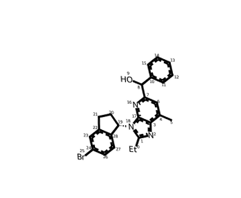 CCc1nc2c(C)cc(C(O)c3ccccc3)nc2n1[C@H]1CCc2cc(Br)ccc21